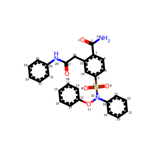 NC(=O)c1ccc(S(=O)(=O)N(Oc2ccccc2)c2ccccc2)cc1CC(=O)Nc1ccccc1